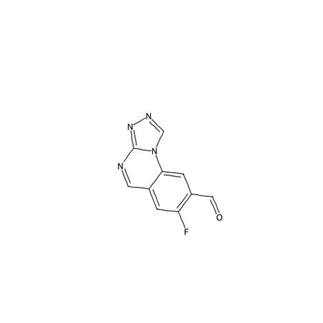 O=Cc1cc2c(cnc3nncn32)cc1F